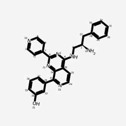 N[C@@H](CNc1nc(-c2ccncc2)nc2c(-c3cccc(O)c3)nccc12)Cc1ccccc1